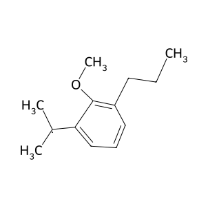 CCCc1cccc([C](C)C)c1OC